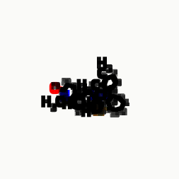 Cc1cccc(NC2([C@H]3CC[C@H]4[C@@H]5CC[C@H]6N(C)C(=O)CC[C@]6(C)[C@H]5CC[C@]34C)CCCCCC2Br)c1C